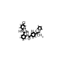 CC(C)(CN1CCCC1)c1ccc(C(=O)Nc2ccccc2C(=O)Nc2ccc(Cl)cn2)cc1